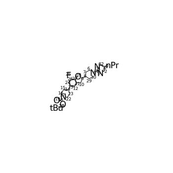 CCCc1cnc(N2CCC(C3Cc4cc(C5=CCN(C(=O)OC(C)(C)C)CC5)cc(F)c4O3)CC2)nc1